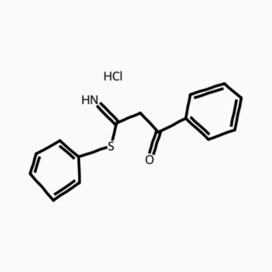 Cl.N=C(CC(=O)c1ccccc1)Sc1ccccc1